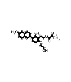 C=C(C)C(=O)OCCc1c(OCCO)ccc(-c2ccc3cc(C)ccc3c2)c1C